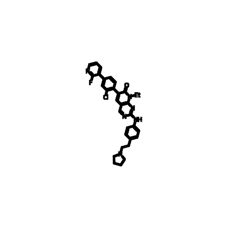 CCn1c(=O)c(-c2ccc(-c3cccnc3F)cc2Cl)cc2cnc(Nc3ccc(CCN4CCCC4)cc3)nc21